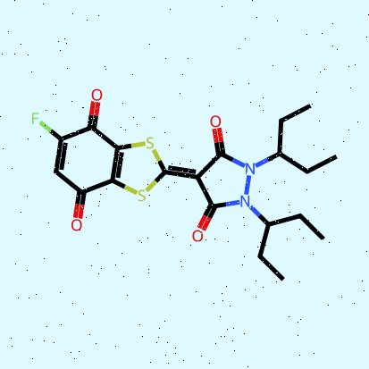 CCC(CC)N1C(=O)C(=C2SC3=C(S2)C(=O)C(F)=CC3=O)C(=O)N1C(CC)CC